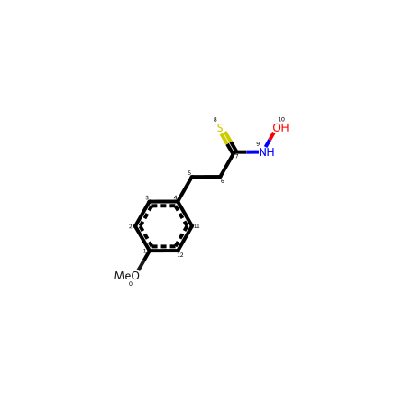 COc1ccc(CCC(=S)NO)cc1